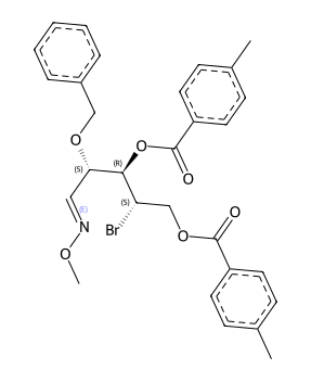 CO/N=C/[C@H](OCc1ccccc1)[C@@H](OC(=O)c1ccc(C)cc1)[C@@H](Br)COC(=O)c1ccc(C)cc1